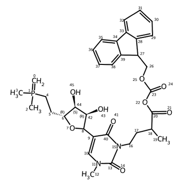 C=P(C)(C)CC[C@H]1OC(c2cn(C)c(=O)n(CCC(C)C(=O)OC(=O)OCC3c4ccccc4-c4ccccc43)c2=O)[C@H](O)[C@@H]1O